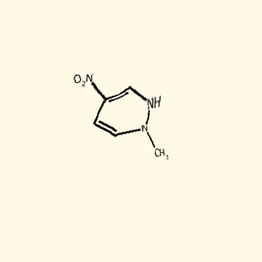 CN1C=CC([N+](=O)[O-])=CN1